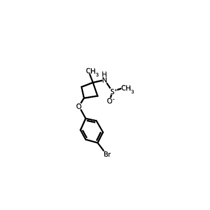 C[S+]([O-])NC1(C)CC(Oc2ccc(Br)cc2)C1